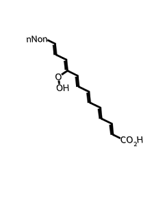 CCCCCCCCCC=CC=C(C=CC=CC=CC=CC(=O)O)OO